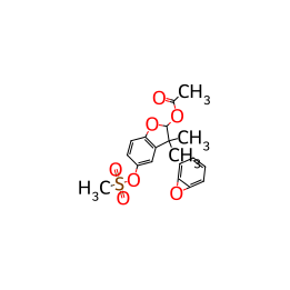 CC(=O)OC1Oc2ccc(OS(C)(=O)=O)cc2C1(C)C.c1ccc2c(c1)O2